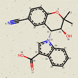 CC1(C)Oc2ccc(C#N)cc2[C@@H](n2cc(C(=O)O)c3ccccc32)[C@@H]1O